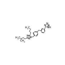 CCCCc1nc(CCC(C)C)nn1Cc1ccc(Cc2cccc(-c3nnn[nH]3)c2)cc1